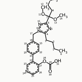 CCCCc1nc(C(CCC)(OC)OC)nn1Cc1ccc(-c2cnccc2OC(=O)O)cc1